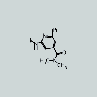 CC(C)c1cc(C(=O)N(C)C)cc(NI)n1